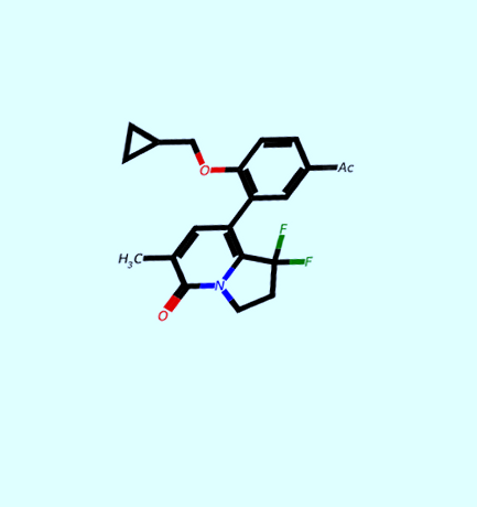 CC(=O)c1ccc(OCC2CC2)c(-c2cc(C)c(=O)n3c2C(F)(F)CC3)c1